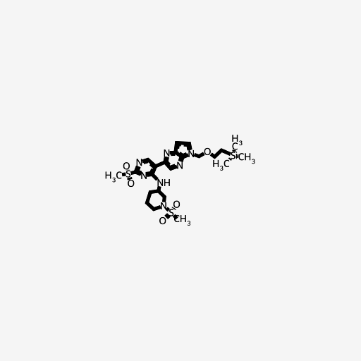 C[Si](C)(C)CCOCn1ccc2nc(-c3cnc(S(C)(=O)=O)nc3NC3CCCN(S(C)(=O)=O)C3)cnc21